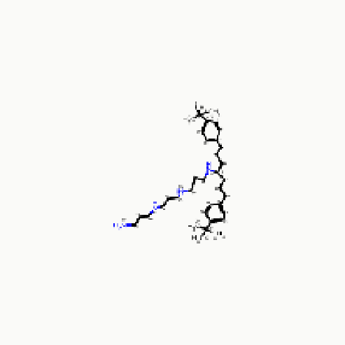 CC(C)(C)c1ccc(CCCC(CCCc2ccc(C(C)(C)C)cc2)NCCCNCCCNCCCN)cc1